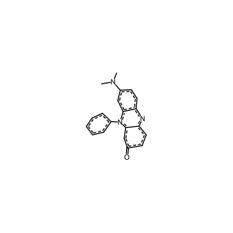 CN(C)c1ccc2nc3ccc(=O)cc-3n(-c3ccccc3)c2c1